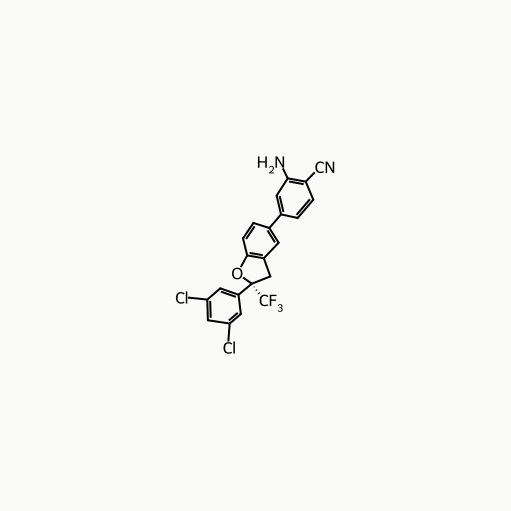 N#Cc1ccc(-c2ccc3c(c2)C[C@](c2cc(Cl)cc(Cl)c2)(C(F)(F)F)O3)cc1N